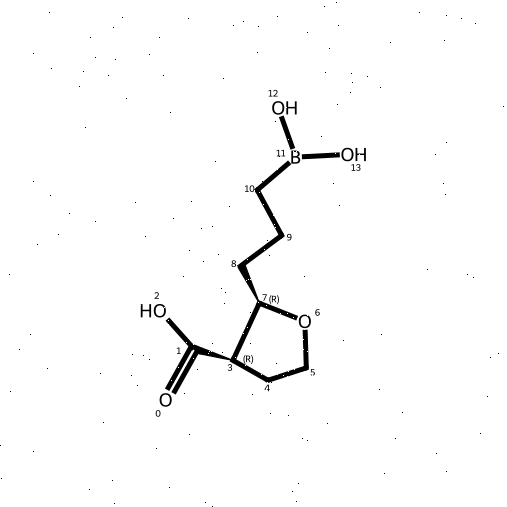 O=C(O)[C@@H]1CCO[C@@H]1CCCB(O)O